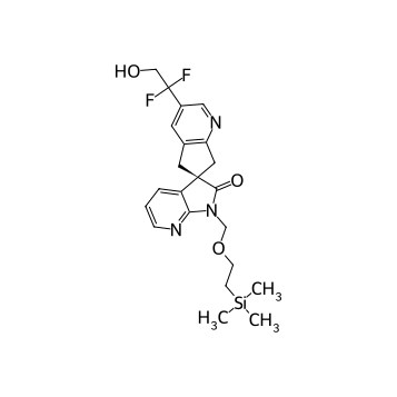 C[Si](C)(C)CCOCN1C(=O)[C@]2(Cc3cc(C(F)(F)CO)cnc3C2)c2cccnc21